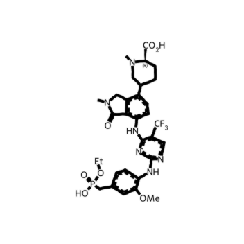 CCOP(=O)(O)Cc1ccc(Nc2ncc(C(F)(F)F)c(Nc3ccc(C4CC[C@H](C(=O)O)N(C)C4)c4c3C(=O)N(C)C4)n2)c(OC)c1